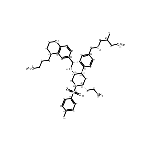 COCCCN1CCOc2ccc(CO[C@H]3CN(S(=O)(=O)c4ccc(C)cc4)[C@@H](CCN)C[C@@H]3c3ccc(COCC(C)COC)cc3)cc21